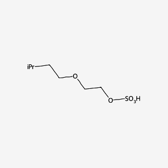 CC(C)CCOCCOS(=O)(=O)O